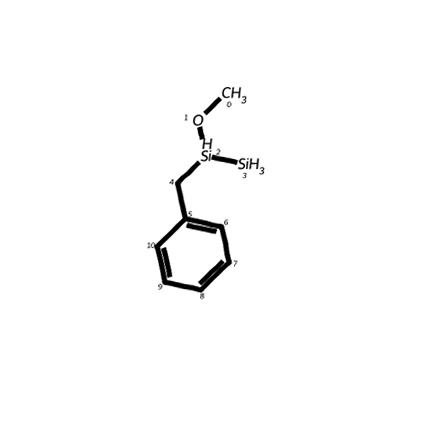 CO[SiH]([SiH3])Cc1ccccc1